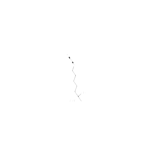 CN[C@@](C)(C=O)CCCCCN=[N+]=[N-]